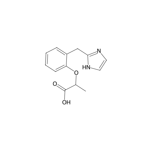 CC(Oc1ccccc1Cc1ncc[nH]1)C(=O)O